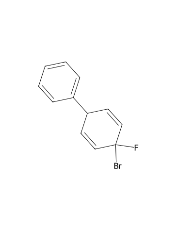 FC1(Br)C=CC(c2ccccc2)C=C1